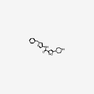 O=C(Nc1cnn(Cc2ccccc2)c1)c1cc(N2CCNCC2)on1